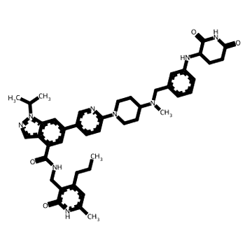 CCCc1cc(C)[nH]c(=O)c1CNC(=O)c1cc(-c2ccc(N3CCC(N(C)Cc4cccc(NC5CCC(=O)NC5=O)c4)CC3)nc2)cc2c1cnn2C(C)C